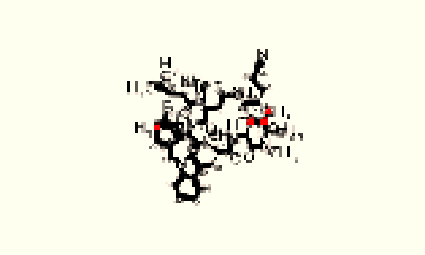 CC(C)CC(C(=O)N[C@@H](CC(C)C)C(=O)N(C)[C@@H](Cc1cn(Cc2ccc(F)cc2)c2ccccc12)C(=O)N[C@@H](CC(C)C)C(=O)N(C)[C@@H](C)C(=O)O[C@H](CCC#N)C(=O)O)N(C)C(=O)[C@@H](N)CC(C)C